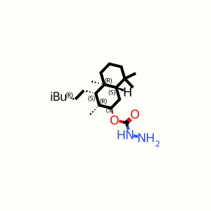 CC[C@@H](C)CC[C@H]1[C@@H](C)[C@@H](OC(=O)NN)C[C@H]2C(C)(C)CCC[C@]12C